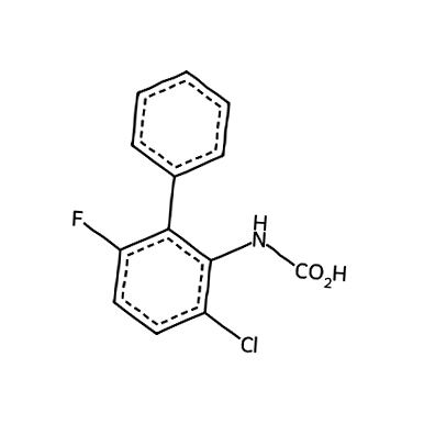 O=C(O)Nc1c(Cl)ccc(F)c1-c1ccccc1